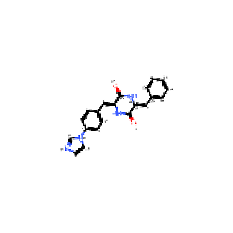 O=c1[nH]/c(=C\c2ccc(-n3ccnc3)cc2)c(=O)[nH]/c1=C\c1ccccc1